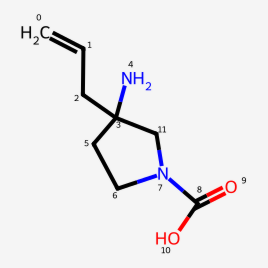 C=CCC1(N)CCN(C(=O)O)C1